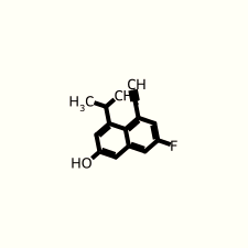 C#Cc1cc(F)cc2cc(O)cc(C(C)C)c12